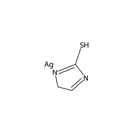 SC1=NCC=N1.[Ag]